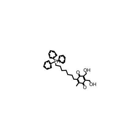 CC1=C(CCCCCCC[PH](c2ccccc2)(c2ccccc2)c2ccccc2)C(=O)C(CO)=C(CO)C1=O